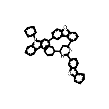 C1=CCC(C2CC(c3cccc4oc5ccc(-c6ccc7c8ccccc8n(-c8ccccc8)c7c6)cc5c34)=NC(c3ccc4c(c3)oc3ccccc34)=N2)C=C1